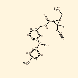 C#CCC1(C)C(CC(F)(F)F)C1C(=O)OCc1cccc(C(Cl)c2ccc(OC)cc2)c1